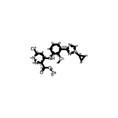 COc1c(Nc2cc(Cl)nnc2C(=O)[O][Zn])cccc1-c1ncn(C2CC2)n1